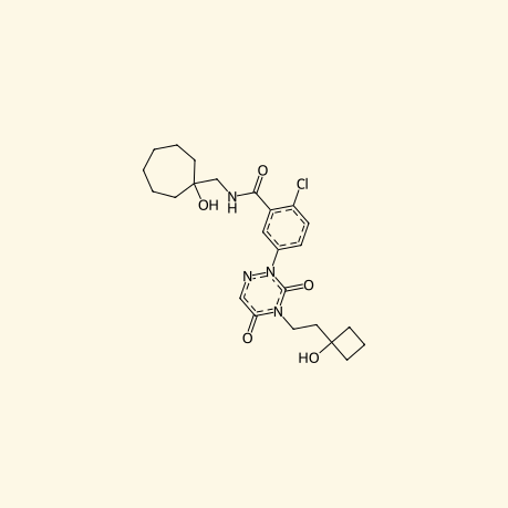 O=C(NCC1(O)CCCCCC1)c1cc(-n2ncc(=O)n(CCC3(O)CCC3)c2=O)ccc1Cl